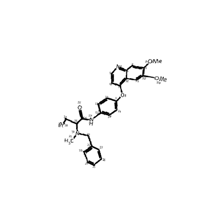 COc1cc2nccc(Oc3ccc(NC(=O)C(CC(C)C)N(C)Cc4ccccc4)cc3)c2cc1OC